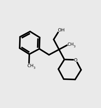 Cc1ccccc1CC(C)(CO)C1CCCCO1